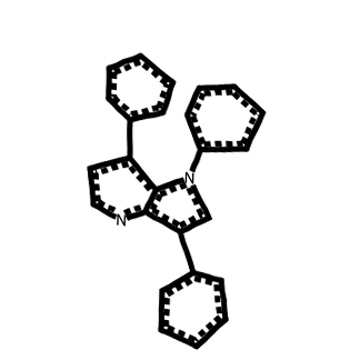 c1ccc(-c2cn(-c3ccccc3)c3c(-c4ccccc4)ccnc23)cc1